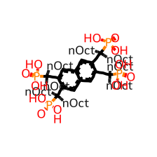 CCCCCCCCC(CCCCCCCC)(c1cc2cc(C(CCCCCCCC)(CCCCCCCC)P(=O)(O)O)c(C(CCCCCCCC)(CCCCCCCC)P(=O)(O)O)cc2cc1C(CCCCCCCC)(CCCCCCCC)P(=O)(O)O)P(=O)(O)O